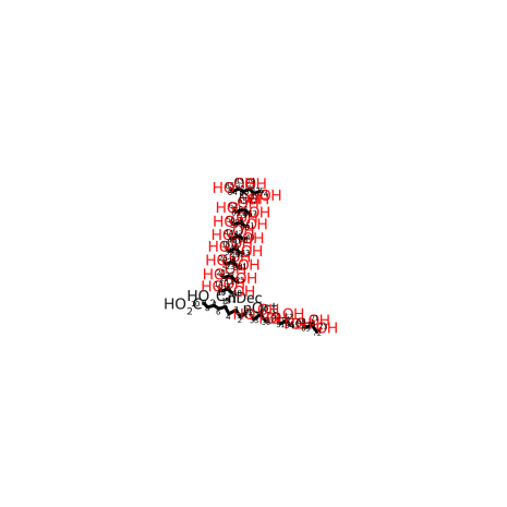 CCCCCCCC/C=C\CCCCCCCC(=O)O.CCCCCCCCCCCC(=O)O.OCC(O)CO.OCC(O)CO.OCC(O)CO.OCC(O)CO.OCC(O)CO.OCC(O)CO.OCC(O)CO.OCC(O)CO.OCC(O)CO.OCC(O)CO.OC[C@@H](O)[C@@H](O)[C@H](O)[C@@H](O)CO